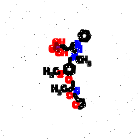 COc1cc(CN(C)c2nn(-c3ccccc3)cc2C=CP(=O)(O)O)ccc1OCc1nc(-c2ccco2)oc1C